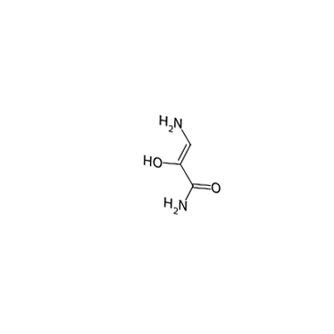 N/C=C(\O)C(N)=O